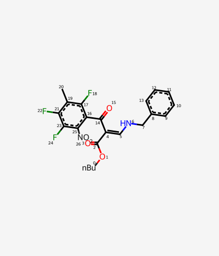 CCCCOC(=O)C(=CNCc1ccccc1)C(=O)c1c(F)c(C)c(F)c(F)c1[N+](=O)[O-]